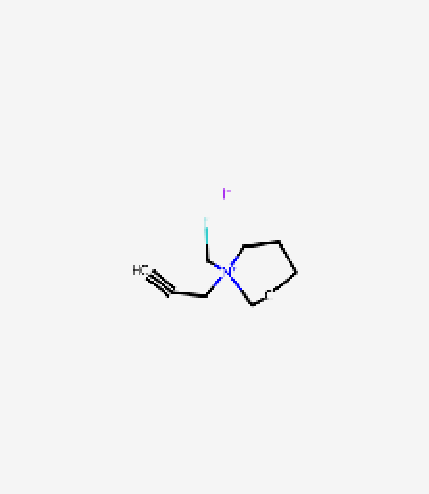 C#CC[N+]1(CF)CCCCC1.[I-]